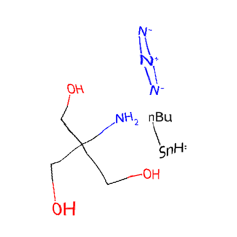 CCC[CH2][SnH].NC(CO)(CO)CO.[N-]=[N+]=[N-]